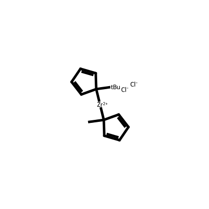 C[C]1([Zr+2][C]2(C(C)(C)C)C=CC=C2)C=CC=C1.[Cl-].[Cl-]